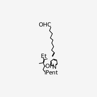 C=CCCCCCCCCC=O.CCCC(C)CC(O)/C(C)=C(\C)CC.c1ccncc1